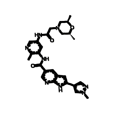 Cc1ncc(NC(=O)CN2C[C@@H](C)O[C@H](C)C2)cc1NC(=O)c1cnc2[nH]c(-c3cnn(C)c3)cc2c1